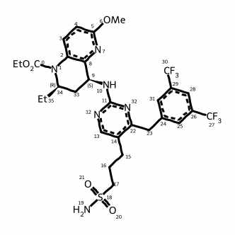 CCOC(=O)N1c2ccc(OC)nc2[C@@H](Nc2ncc(CCCS(N)(=O)=O)c(Cc3cc(C(F)(F)F)cc(C(F)(F)F)c3)n2)C[C@H]1CC